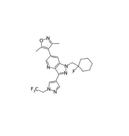 Cc1noc(C)c1-c1cnc2c(-c3cnn(CC(F)(F)F)c3)nn(CC3(F)CCCCC3)c2c1